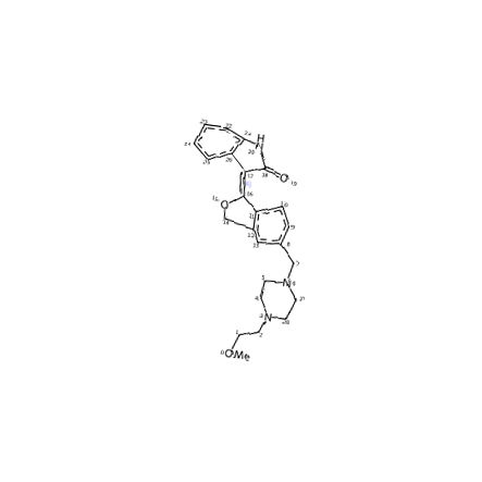 COCCN1CCN(Cc2ccc3c(c2)CO/C3=C2/C(=O)Nc3ccccc32)CC1